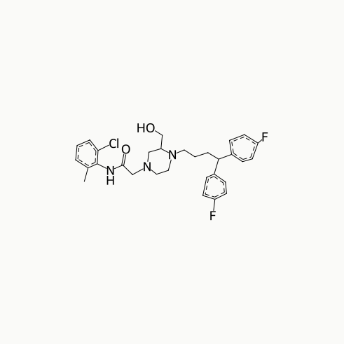 Cc1cccc(Cl)c1NC(=O)CN1CCN(CCCC(c2ccc(F)cc2)c2ccc(F)cc2)C(CO)C1